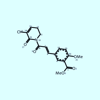 COC(=O)c1cc(/C=C/C(=O)N2CCC=C(Cl)C2=O)ccc1OC